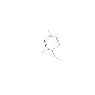 Nc1cc(Br)ccc1CI